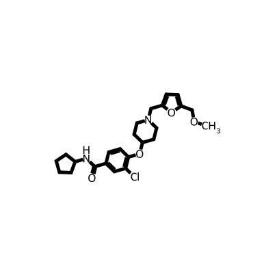 COCc1ccc(CN2CCC(Oc3ccc(C(=O)NC4CCCC4)cc3Cl)CC2)o1